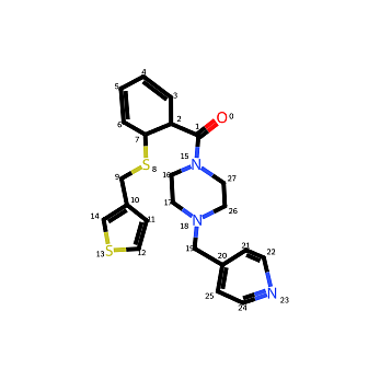 O=C(C1C=CC=CC1SCc1ccsc1)N1CCN(Cc2ccncc2)CC1